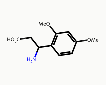 COc1ccc(C(N)CC(=O)O)c(OC)c1